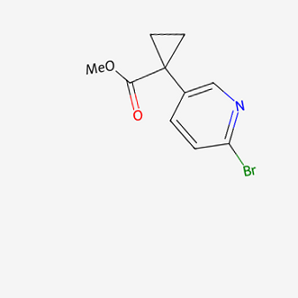 COC(=O)C1(c2ccc(Br)nc2)CC1